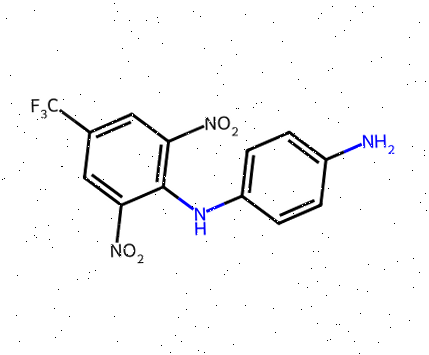 Nc1ccc(Nc2c([N+](=O)[O-])cc(C(F)(F)F)cc2[N+](=O)[O-])cc1